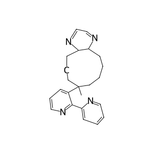 CC1(c2cccnc2-c2ccccn2)CCCCC2N=CC=NC2CCC1